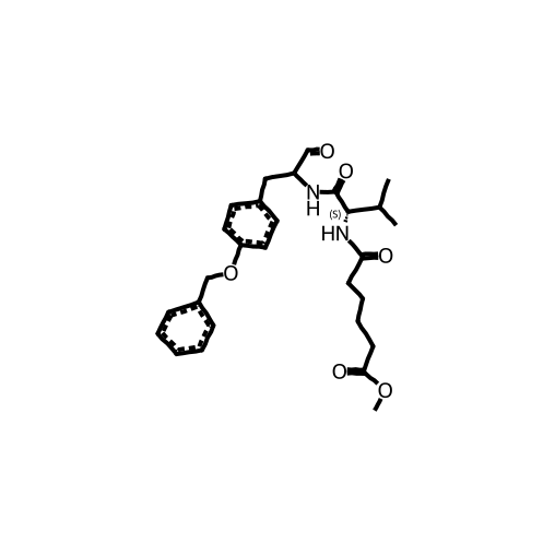 COC(=O)CCCCC(=O)N[C@H](C(=O)NC(C=O)Cc1ccc(OCc2ccccc2)cc1)C(C)C